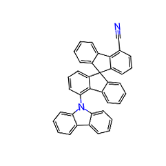 N#Cc1cccc2c1-c1ccccc1C21c2ccccc2-c2c(-n3c4ccccc4c4ccccc43)cccc21